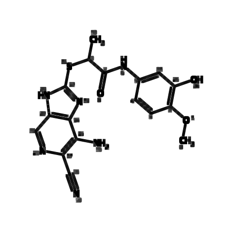 COc1ccc(NC(=O)C(C)Sc2nc3c(N)c(C#N)ncc3[nH]2)cc1O